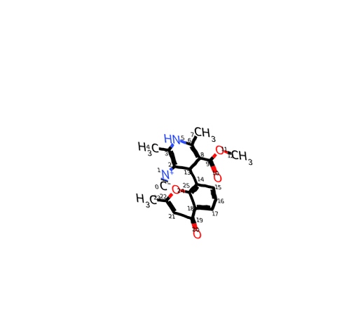 [C-]#[N+]C1=C(C)NC(C)=C(C(=O)OC)C1c1cccc2c(=O)cc(C)oc12